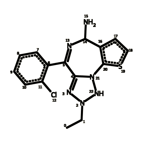 CCN1N=C2C(c3ccccc3Cl)=NC(N)c3ccsc3N2N1